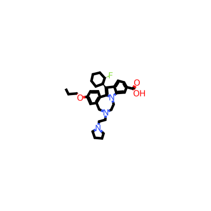 CCCOc1ccc2c(c1)CN(CCN1CCCC1)CCn1c-2c([C@H]2CCCC[C@@H]2F)c2ccc(C(=O)O)cc21